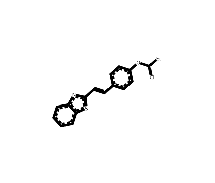 CCC(Cl)Oc1ccc(/C=C/c2nc3ccccc3s2)cc1